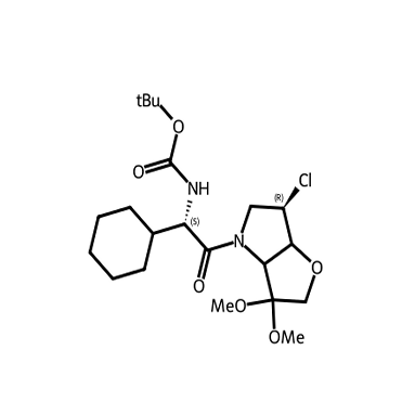 COC1(OC)COC2C1N(C(=O)[C@@H](NC(=O)OC(C)(C)C)C1CCCCC1)C[C@H]2Cl